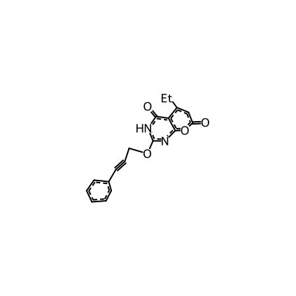 CCc1cc(=O)oc2nc(OCC#Cc3ccccc3)[nH]c(=O)c12